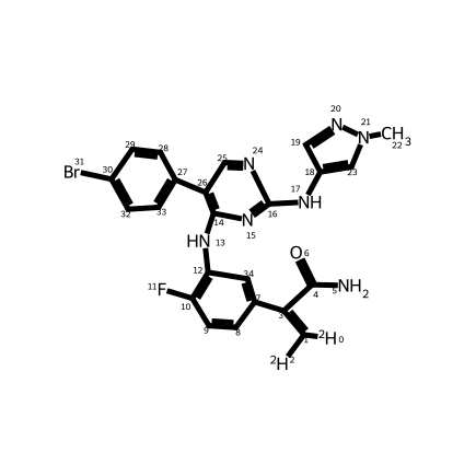 [2H]C([2H])=C(C(N)=O)c1ccc(F)c(Nc2nc(Nc3cnn(C)c3)ncc2-c2ccc(Br)cc2)c1